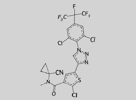 CN(C(=O)c1cc(-c2cn(-c3c(Cl)cc(C(F)(C(F)(F)F)C(F)(F)F)cc3Cl)nn2)sc1Cl)C1(C#N)CC1